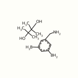 Bc1cc(B)cc(CN)c1.CC(C)(O)C(C)(C)O